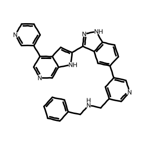 c1ccc(CNCc2cncc(-c3ccc4[nH]nc(-c5cc6c(-c7cccnc7)cncc6[nH]5)c4c3)c2)cc1